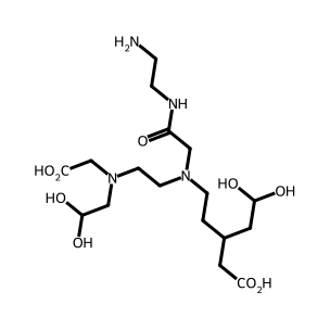 NCCNC(=O)CN(CCC(CC(=O)O)CC(O)O)CCN(CC(=O)O)CC(O)O